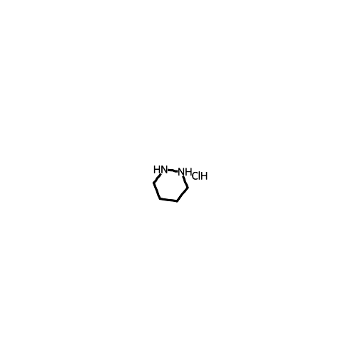 C1CCNNC1.Cl